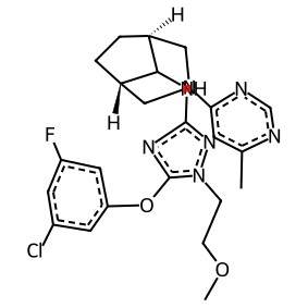 COCCn1nc(NC2[C@H]3CC[C@H]2CN(c2cc(C)ncn2)C3)nc1Oc1cc(F)cc(Cl)c1